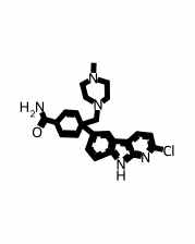 CN1CCN(CC2(c3ccc4[nH]c5nc(Cl)ccc5c4c3)C=CC(C(N)=O)C=C2)CC1